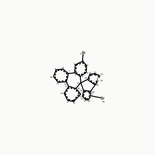 Brc1ccc2c(c1)-c1ccccc1-c1ccccc1C21c2ccccc2-c2c(Br)cccc21